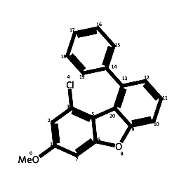 COc1cc(Cl)c2c(c1)oc1cccc(-c3ccccc3)c12